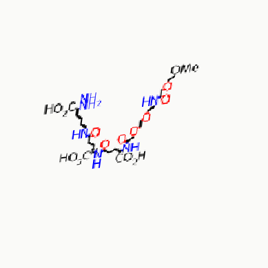 COCCOCC(=O)NCCOCCOCC(=O)N[C@@H](CCC(=O)N[C@@H](CCC(=O)NCCCCC(NN)C(=O)O)C(=O)O)C(=O)O